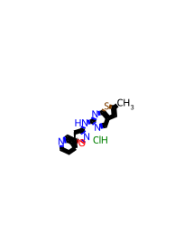 Cc1cc2cnc(NC3=NO[C@@]4(C3)CN3CCC4CC3)nc2s1.Cl